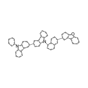 c1ccc(-n2c3ccccc3c3cc(-c4ccc5c(c4)c4ccccc4n5-c4cccc5cc(-c6ccc7oc8ccccc8c7c6)ccc45)ccc32)cc1